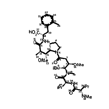 CC[C@H](C)[C@@H]([C@@H](CC(=O)N1CCC[C@H]1[C@H](OC)[C@@H](C)C(=O)N[C@@H](Cc1ccccc1C)C(=O)O)OC)N(C)C(=O)[C@@H](NC(=O)[C@@H](NC)C(C)C)C(C)C